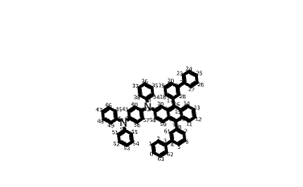 c1ccc(-c2cccc(-c3c4ccccc4c(-c4cccc(-c5ccccc5)c4)c4cc(N(c5ccccc5)c5ccc(N(c6ccccc6)c6ccccc6)cc5)ccc34)c2)cc1